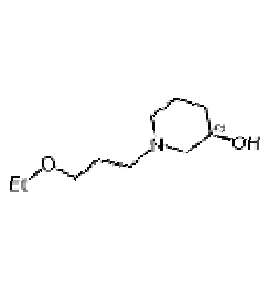 CCOCCCN1CCC[C@@H](O)C1